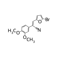 COc1ccc(/C(C#N)=C/c2ccc(Br)o2)cc1OC